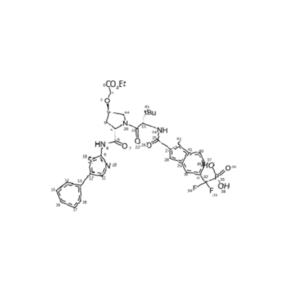 CCOC(=O)CO[C@@H]1C[C@@H](C(=O)Nc2ncc(-c3ccccc3)s2)N(C(=O)[C@@H](NC(=O)c2cc3cc(C(F)(F)P(=O)(O)O)ccc3s2)C(C)(C)C)C1